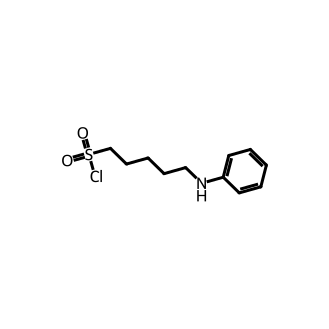 O=S(=O)(Cl)CCCCCNc1ccccc1